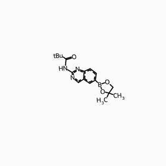 CC1(C)COB(c2ccc3nc(NC(=O)C(C)(C)C)ncc3c2)O1